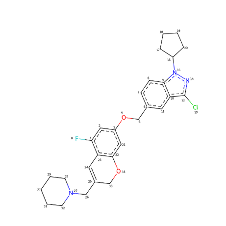 Fc1cc(OCc2ccc3c(c2)c(Cl)nn3C2CCCC2)cc2c1C=C(CN1CCCCC1)CO2